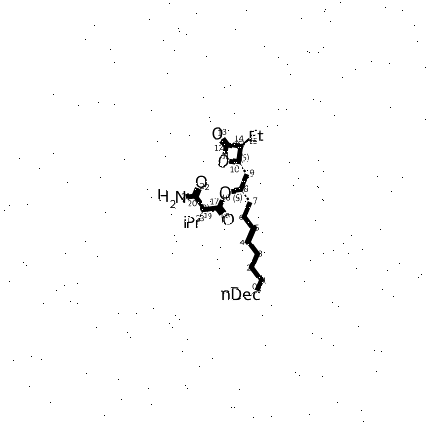 CCCCCCCCCCCCCCCCC[C@@H](C[C@@H]1OC(=O)[C@H]1CC)OC(=O)[C@@H](C(N)=O)C(C)C